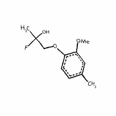 COc1cc(C)ccc1OCC(C)(O)F